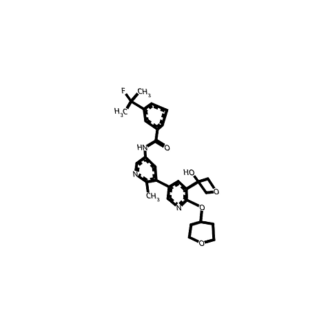 Cc1ncc(NC(=O)c2cccc(C(C)(C)F)c2)cc1-c1cnc(OC2CCOCC2)c(C2(O)COC2)c1